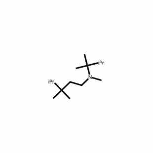 CC(C)C(C)(C)CCN(C)C(C)(C)C(C)C